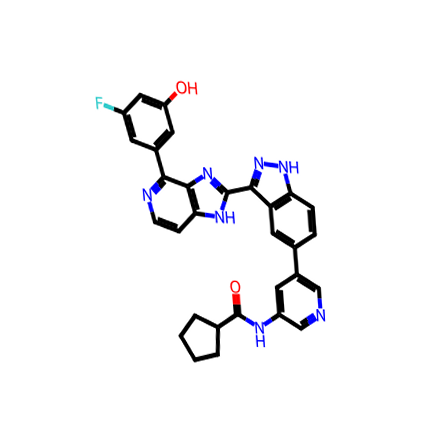 O=C(Nc1cncc(-c2ccc3[nH]nc(-c4nc5c(-c6cc(O)cc(F)c6)nccc5[nH]4)c3c2)c1)C1CCCC1